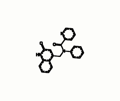 O=C(c1ccccn1)N(Cc1cc(=O)[nH]c2ccccc12)c1ccccc1